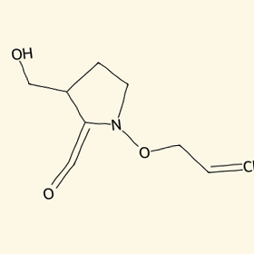 C=CCON1CCC(CO)C1=C=O